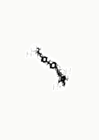 CC(C)(c1ccc(OC[C@H](O)CCl)cc1)c1ccc(OC[C@@H](O)Cn2nnc(CO)c2I)cc1